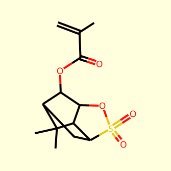 C=C(C)C(=O)OC1C2OS(=O)(=O)C3CC1C(C)(C)C23